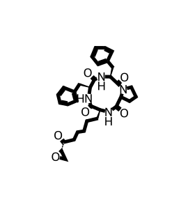 O=C1N[C@@H](CCCCCC(=O)[C@@H]2CO2)C(=O)N[C@@H](Cc2ccccc2)C(=O)N[C@@H](Cc2ccccc2)C(=O)N2CCCC12